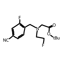 CC(C)(C)OC(=O)CN(CCF)Cc1ccc(C#N)cc1F